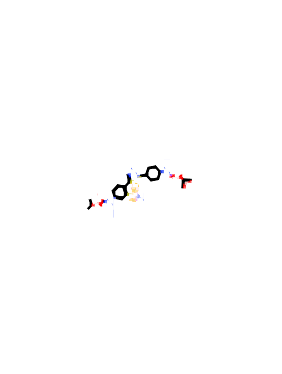 CC(C)OC(=O)Nc1ccc(-c2cnc(C3CCC(NC(=O)OC4COC4)CC3)s2)c(S(N)(=O)=O)c1